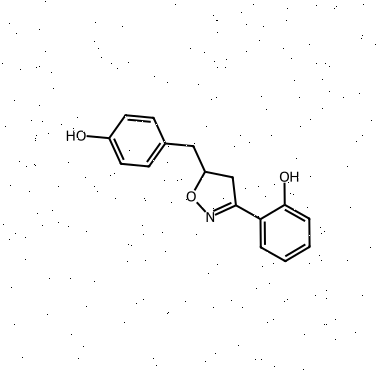 Oc1ccc(CC2CC(c3ccccc3O)=NO2)cc1